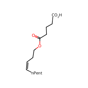 CCCCC/C=C\CCOC(=O)CCCC(=O)O